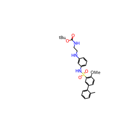 COc1ccc(-c2ccccc2C)cc1S(=O)(=O)Nc1cccc(NCCNC(=O)OC(C)(C)C)c1